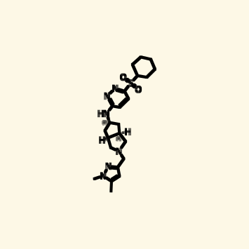 Cc1cc(CN2C[C@H]3C[C@@H](Nc4ccc(S(=O)(=O)C5CCCCC5)nn4)C[C@H]3C2)nn1C